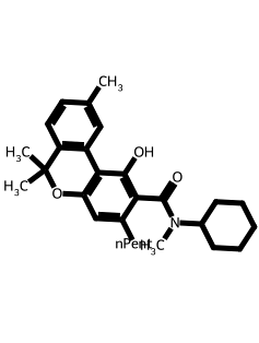 CCCCCc1cc2c(c(O)c1C(=O)N(C)C1CCCCC1)-c1cc(C)ccc1C(C)(C)O2